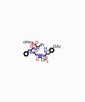 CCCCCCOC(=O)C(CC(C)C)NC(=O)C(Cc1ccccc1)NC(=O)CNC(=O)C(C)NC(=O)C(N)Cc1ccc(OC(C)=O)cc1